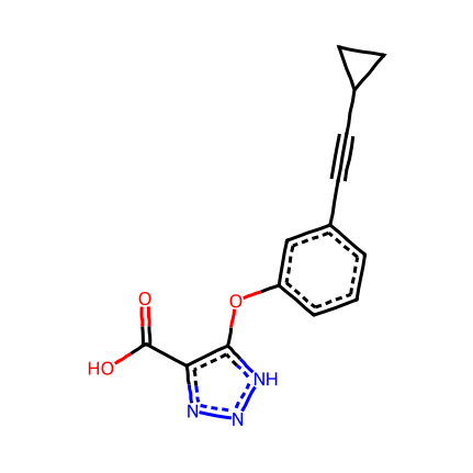 O=C(O)c1nn[nH]c1Oc1cccc(C#CC2CC2)c1